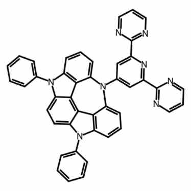 c1ccc(-n2c3ccc4c5c3c3c2cccc3n(-c2cc(-c3ncccn3)nc(-c3ncccn3)c2)c2cccc(c52)n4-c2ccccc2)cc1